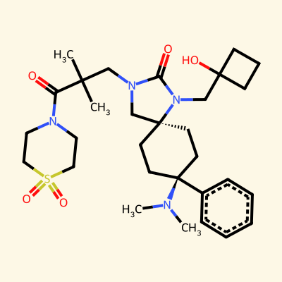 CN(C)[C@]1(c2ccccc2)CC[C@]2(CC1)CN(CC(C)(C)C(=O)N1CCS(=O)(=O)CC1)C(=O)N2CC1(O)CCC1